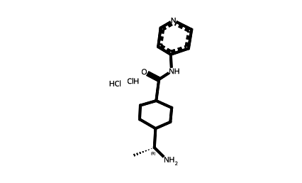 C[C@@H](N)C1CCC(C(=O)Nc2ccncc2)CC1.Cl.Cl